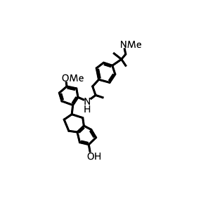 CNCC(C)(C)c1ccc(CC(C)Nc2cc(OC)ccc2C2CCc3cc(O)ccc3C2)cc1